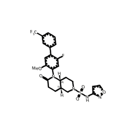 COc1cc(-c2cccc(C(F)(F)F)c2)c(F)cc1N1C(=O)CC[C@H]2CN(S(=O)(=O)Nc3ccon3)CC[C@H]21